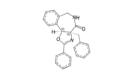 O=C1NCc2ccccc2[C@@H]2OC(c3ccccc3)=N[C@]12Cc1ccccc1